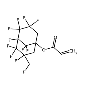 C=CC(=O)OC12CC(F)(F)C(F)(F)C(F)(C(F)(F)C(F)(CF)C1)C2(F)F